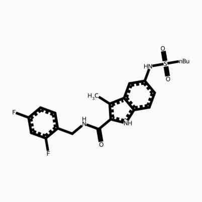 CCCCS(=O)(=O)Nc1ccc2[nH]c(C(=O)NCc3ccc(F)cc3F)c(C)c2c1